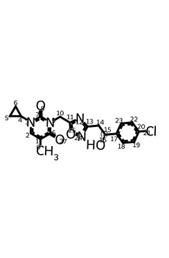 Cc1cn(C2CC2)c(=O)n(Cc2nc(C[C@H](O)c3ccc(Cl)cc3)no2)c1=O